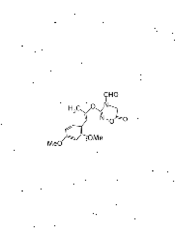 COc1ccc(/C=C(\C)OC2=NOC(=O)CN2C=O)c(OC)c1